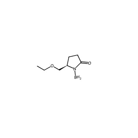 BN1C(=O)CC[C@@H]1COCC